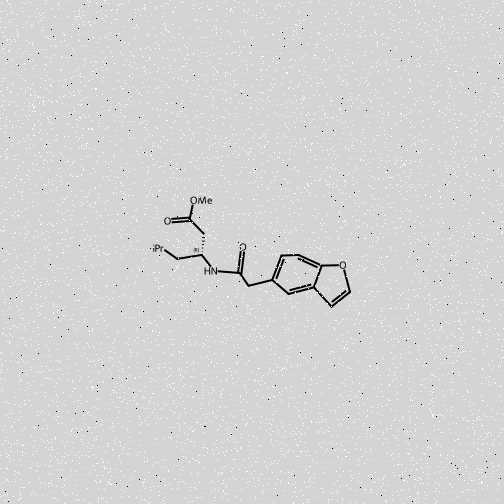 COC(=O)C[C@@H](CC(C)C)NC(=O)Cc1ccc2occc2c1